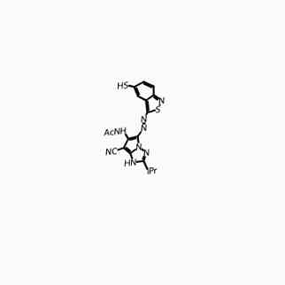 CC(=O)Nc1c(C#N)c2[nH]c(C(C)C)nn2c1/N=N/c1snc2ccc(S)cc12